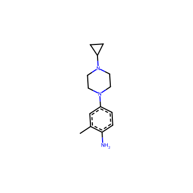 Cc1cc(N2CCN(C3CC3)CC2)ccc1N